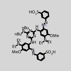 CCCCN(CCCC)c1nc(Nc2cc(N(CC)CC)c(OC)cc2/N=N/c2cccc(S(=O)(=O)O)c2)nc(Nc2cc(N(CC)CC)c(OC)cc2/N=N/c2cccc(S(=O)(=O)O)c2)n1